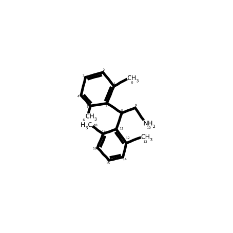 Cc1cccc(C)c1C(CN)c1c(C)cccc1C